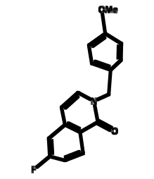 COc1ccc(Cn2ccc3cc(F)ccc3c2=O)cc1